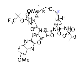 COC[C@@H]1C[C@H](C)CC/C=C\[C@@H]2C[C@@]2(C(=O)NS(=O)(=O)C2(C)CC2)NC(=O)[C@@H]2C[C@@H](Oc3nc4cc(OC)ccc4nc3C(C)C)CN2C(=O)[C@H]1NC(=O)OC(C)(C)C(F)(F)F